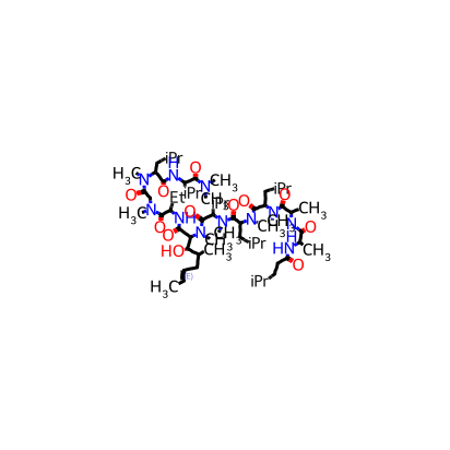 C/C=C/CC(C)C(O)C(C(=O)NC(CC)C(=O)N(C)CC(=O)N(C)C(CC(C)C)C(=O)NC(C(=O)N(C)C)C(C)C)N(C)C(=O)C(C(C)C)N(C)C(=O)C(CC(C)C)N(C)C(=O)C(CC(C)C)N(C)C(=O)C(C)NC(=O)C(C)NC(=O)CCC(C)C